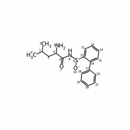 CC(C)CC(N)C(=O)N[S+]([O-])c1ccccc1-c1ccccc1